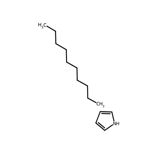 CCCCCCCCCC.c1cc[nH]c1